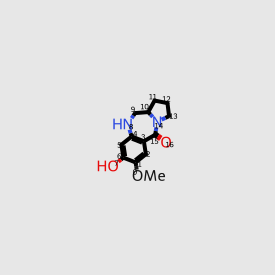 COc1cc2c(cc1O)NCC1CCCN1C2=O